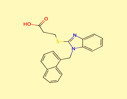 O=C(O)CCSc1nc2ccccc2n1Cc1cccc2ccccc12